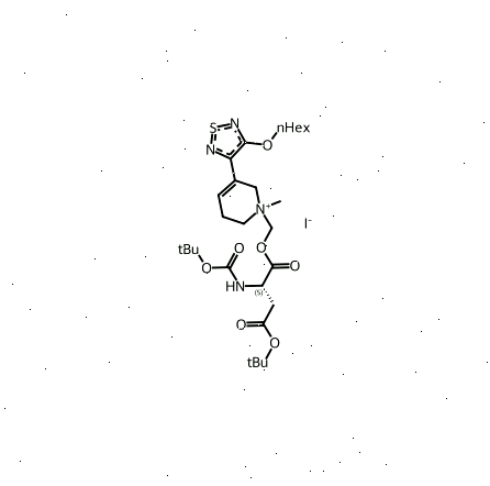 CCCCCCOc1nsnc1C1=CCC[N+](C)(COC(=O)[C@H](CC(=O)OC(C)(C)C)NC(=O)OC(C)(C)C)C1.[I-]